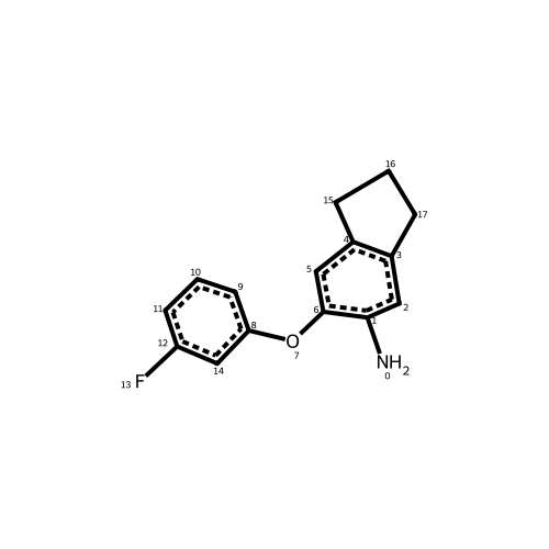 Nc1cc2c(cc1Oc1cccc(F)c1)CCC2